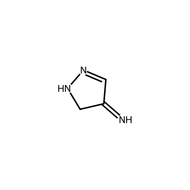 N=C1C=NNC1